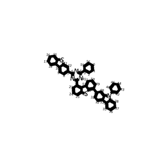 c1ccc(-c2nc(-c3ccc4c(c3)sc3ccccc34)nc(-c3cccc4sc5c(-c6ccc7c8ccccc8n(-c8ccccc8)c7c6)cccc5c34)n2)cc1